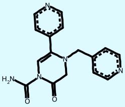 NC(=O)N1C=C(c2ccncc2)N(Cc2ccncc2)CC1=O